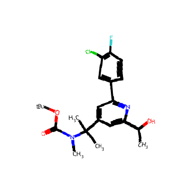 CC(O)c1cc(C(C)(C)N(C)C(=O)OC(C)(C)C)cc(-c2ccc(F)c(Cl)c2)n1